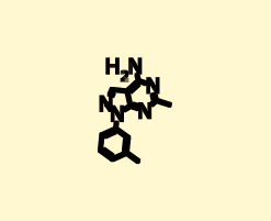 Cc1cccc(-n2ncc3c(N)nc(C)nc32)c1